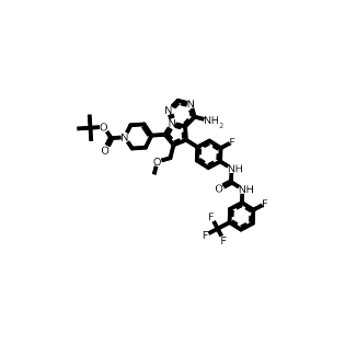 COCc1c(-c2ccc(NC(=O)Nc3cc(C(F)(F)F)ccc3F)c(F)c2)c2c(N)ncnn2c1C1=CCN(C(=O)OC(C)(C)C)CC1